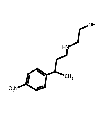 CC(CCNCCO)c1ccc([N+](=O)[O-])cc1